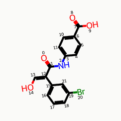 O=C(Nc1ccc(C(=O)O)cc1)/C(=C/O)c1cccc(Br)c1